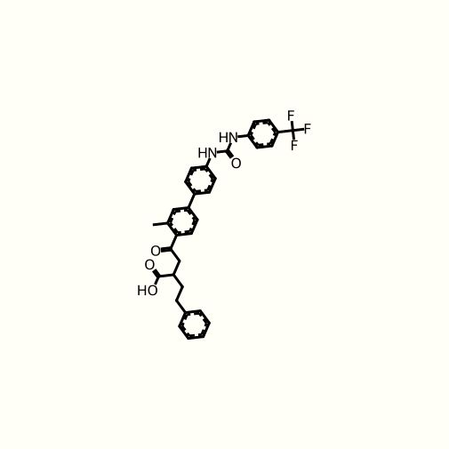 Cc1cc(-c2ccc(NC(=O)Nc3ccc(C(F)(F)F)cc3)cc2)ccc1C(=O)CC(CCc1ccccc1)C(=O)O